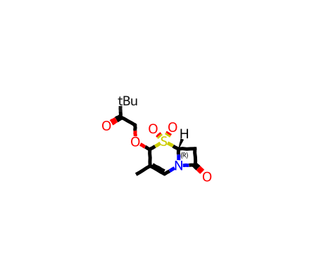 CC1=CN2C(=O)C[C@H]2S(=O)(=O)C1OCC(=O)C(C)(C)C